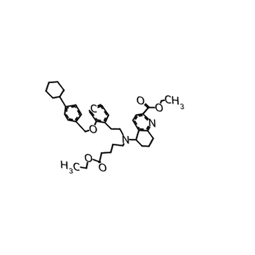 CCOC(=O)CCCCN(CCc1ccccc1OCc1ccc(C2CCCCC2)cc1)C1CCCc2nc(C(=O)OCC)ccc21